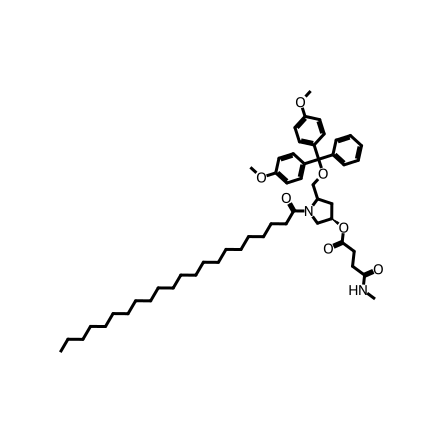 CCCCCCCCCCCCCCCCCCCCCC(=O)N1C[C@H](OC(=O)CCC(=O)NC)CC1COC(c1ccccc1)(c1ccc(OC)cc1)c1ccc(OC)cc1